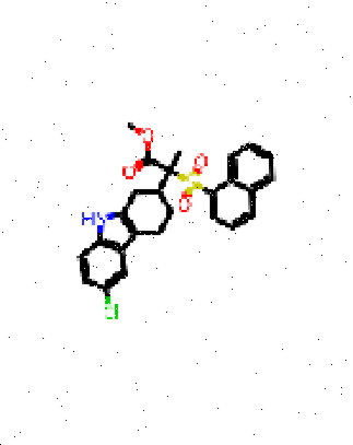 COC(=O)C(C)(C1CCc2c([nH]c3ccc(Cl)cc23)C1)S(=O)(=O)c1cccc2ccccc12